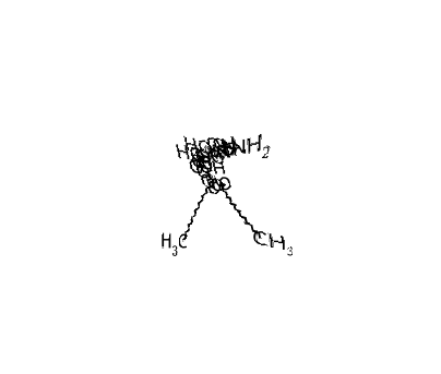 CCCCCCCCCCCCCCCC(=O)OC[C@H](COP(=O)(O)OP(=O)(O)OC[C@H]1O[C@@H](n2ccc(N)nc2=O)C(O)[C@H]1O)OC(=O)CCCCCCCCCCCCCCC